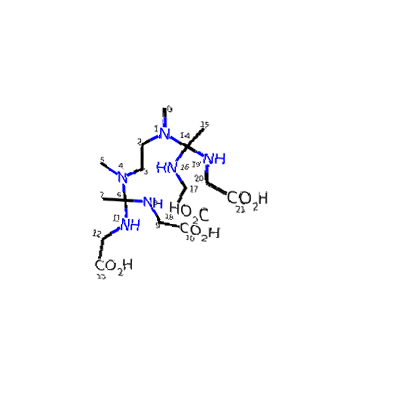 CN(CCN(C)C(C)(NCC(=O)O)NCC(=O)O)C(C)(NCC(=O)O)NCC(=O)O